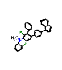 CN(c1ccccc1F)c1ccc(-c2ccc(-c3cccc4ccccc34)cc2)c(-c2ccccc2)c1F